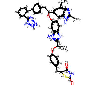 CCCc1nc2c(C)cc(C(Cc3ccc(-c4ccccc4-c4nnn[nH]4)cc3)Oc3ccc4nc(C(C)Oc5ccc(CC6SC(=O)NC6=O)cc5)[nH]c4c3)cc2[nH]1